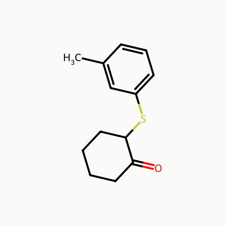 Cc1cccc(SC2CCCCC2=O)c1